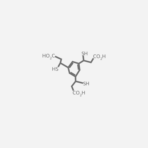 O=C(O)CC(S)c1cc(C(S)CC(=O)O)cc(C(S)CC(=O)O)c1